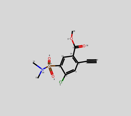 C#Cc1cc(Cl)c(S(=O)(=O)N(C)C)cc1C(=O)OC